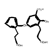 CCCCCCCCCCCCc1cccc(C(=O)O)c1O.CCCCCCCCCCCCc1ccccc1O